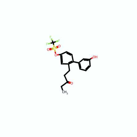 CCC(=O)CCc1cc(OS(=O)(=O)C(F)(F)F)ccc1-c1cccc(O)c1